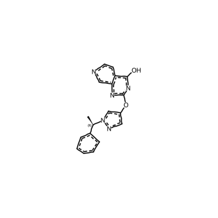 C[C@H](c1ccccc1)n1cc(Oc2nc(O)c3ccncc3n2)cn1